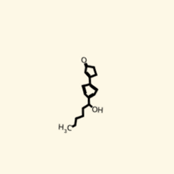 CCCCCC(O)c1ccc(C2=CC(=O)CC2)cc1